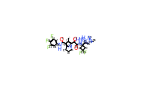 Cc1c(C(=O)Nc2cc(F)c(F)c(F)c2)c2n(c1C(=O)C(=O)NC1(/C(N)=C/N(C)N)CC(F)(F)C1)CCC2